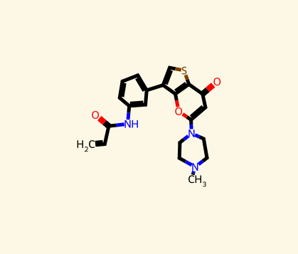 C=CC(=O)Nc1cccc(-c2csc3c(=O)cc(N4CCN(C)CC4)oc23)c1